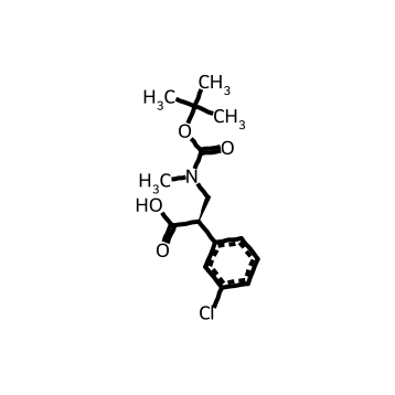 CN(C[C@H](C(=O)O)c1cccc(Cl)c1)C(=O)OC(C)(C)C